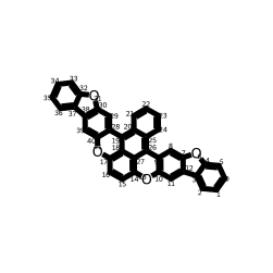 c1ccc2c(c1)oc1cc3c(cc12)Oc1ccc2c4c(c5ccccc5c-3c14)-c1cc3oc4ccccc4c3cc1O2